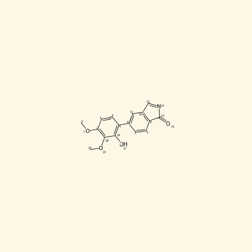 COc1ccc(-c2ccc3c(c2)C=NC3=O)c(O)c1OC